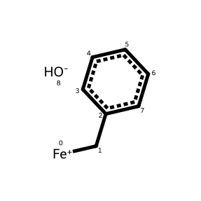 [Fe+][CH2]c1ccccc1.[OH-]